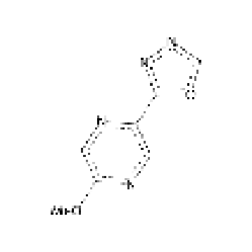 COc1cnc(-c2nnco2)cn1